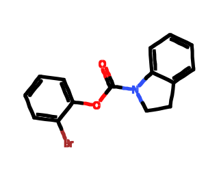 O=C(Oc1ccccc1Br)N1CCc2ccccc21